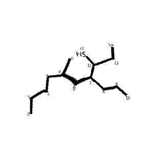 CCCCC(C)CC(CCC)C(S)CC